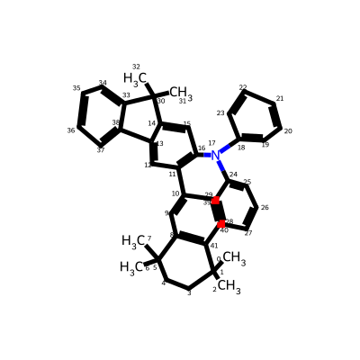 CC1(C)CCC(C)(C)c2cc(-c3cc4c(cc3N(c3ccccc3)c3ccccc3)C(C)(C)c3ccccc3-4)ccc21